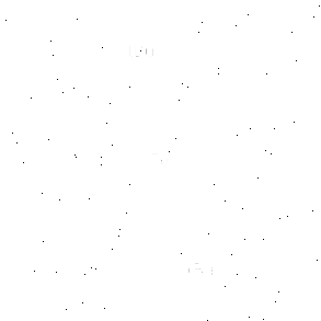 CC(C)(C)CC1=[C]([Fe][C]2=C(CC(C)(C)C)C=CC2)CC=C1